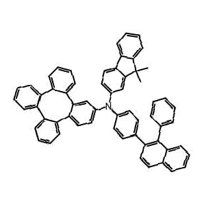 CC1(C)c2ccccc2-c2ccc(N(c3ccc(-c4ccc5ccccc5c4-c4ccccc4)cc3)c3ccc4c(c3)-c3ccccc3-c3ccccc3-c3ccccc3-4)cc21